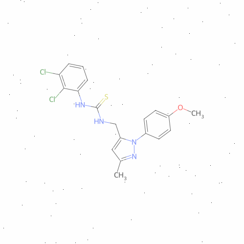 COc1ccc(-n2nc(C)cc2CNC(=S)Nc2cccc(Cl)c2Cl)cc1